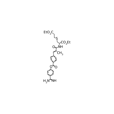 CCOC(=O)CCSC[C@H](NC(=O)/C(C)=C/c1ccc(C(=O)Oc2ccc(C(=N)N)cc2)cc1)C(=O)OCC